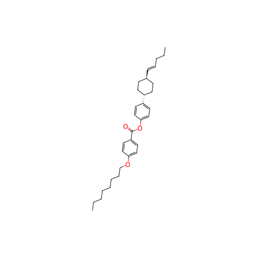 CCCC=C[C@H]1CC[C@H](c2ccc(OC(=O)c3ccc(OCCCCCCCC)cc3)cc2)CC1